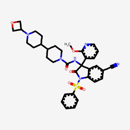 COc1ncccc1C1(NC(=O)N2CCC(C3CCN(C4COC4)CC3)CC2)C(=O)N(S(=O)(=O)c2ccccc2)c2ccc(C#N)cc21